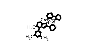 Cc1cc(C)cc(-c2c(C)ccc3c2C=C(c2ccccc2)[CH]3[Zr]([Cl])([Cl])[c]2cccc3c2[SiH2]c2ccccc2-3)c1